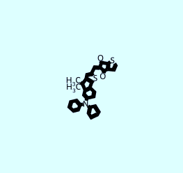 CC1(C)c2cc(N(c3ccccc3)c3ccccc3)ccc2-c2sc(/C=C3\C(=O)c4ccsc4C3=O)cc21